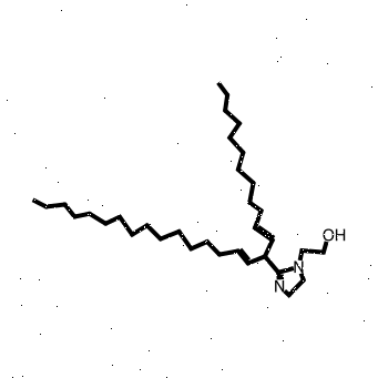 CCCCCCCCCCC=CC(C=CCCCCCCCCCCCCCC)C1=NCCN1CCO